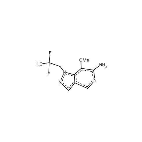 COc1c(N)ncc2cnn(CC(C)(F)F)c12